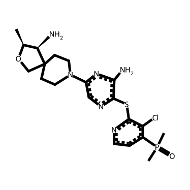 C[C@@H]1OCC2(CCN(c3cnc(Sc4nccc(P(C)(C)=O)c4Cl)c(N)n3)CC2)[C@@H]1N